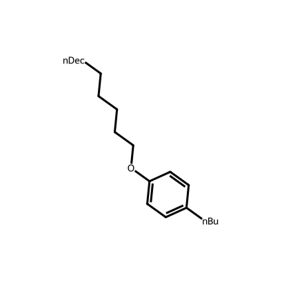 [CH2]CCCCCCCCCCCCCCOc1ccc(CCCC)cc1